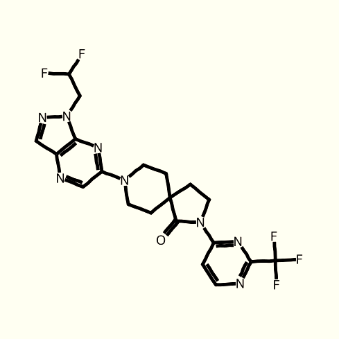 O=C1N(c2ccnc(C(F)(F)F)n2)CCC12CCN(c1cnc3cnn(CC(F)F)c3n1)CC2